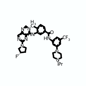 Cc1ccc(C(=O)Nc2cc(N3CCN(C(C)C)CC3)cc(C(F)(F)F)c2)cc1Nc1ncnc2cnc(N3CC[C@H](F)C3)nc12